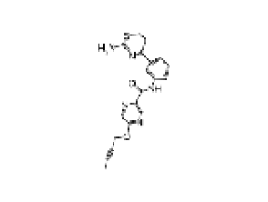 CC#CCOc1cnc(C(=O)Nc2cccc(C3CCSC(N)=N3)c2)cn1